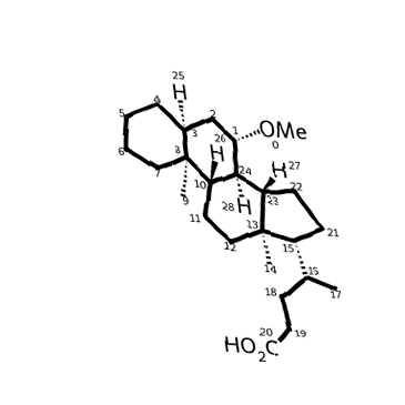 CO[C@H]1C[C@@H]2CCCC[C@]2(C)[C@H]2CC[C@]3(C)[C@@H](C(C)CCC(=O)O)CC[C@H]3[C@H]12